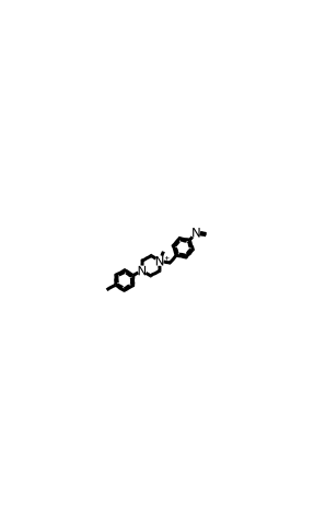 C=Nc1ccc(C[N+]2(C)CCN(c3ccc(C)cc3)CC2)cc1